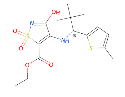 CCOC(=O)C1=C(N[C@@H](c2ccc(C)s2)C(C)(C)C)C(O)=NS1(=O)=O